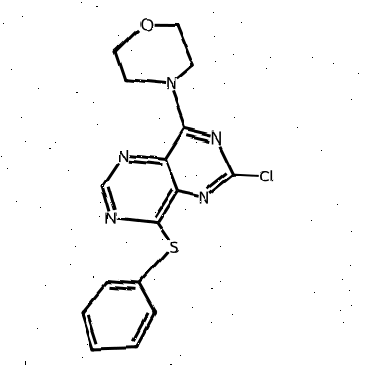 Clc1nc(N2CCOCC2)c2ncnc(Sc3ccccc3)c2n1